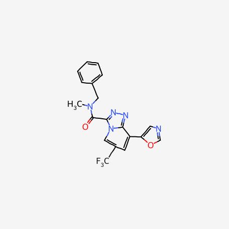 CN(Cc1ccccc1)C(=O)c1nnc2c(-c3cnco3)cc(C(F)(F)F)cn12